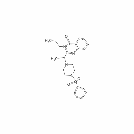 CCCn1c(C(C)N2CCN(S(=O)(=O)c3ccccc3)CC2)nc2ccccc2c1=O